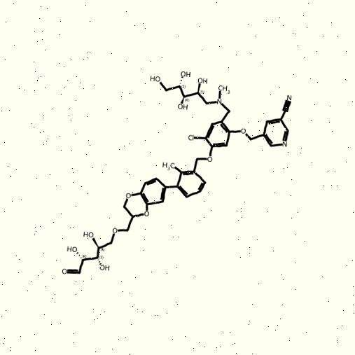 Cc1c(COc2cc(OCc3cncc(C#N)c3)c(CN(C)C[C@H](O)[C@@H](O)[C@@H](O)CO)cc2Cl)cccc1-c1ccc2c(c1)OC(COC[C@H](O)[C@H](O)[C@@H](O)C=O)CO2